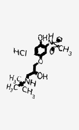 CC(C)(C)NCC(O)COc1ccc(O)c(NS(C)(=O)=O)c1.Cl